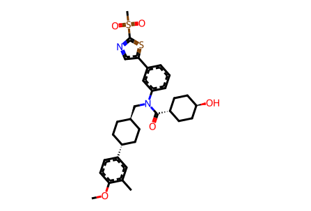 COc1ccc([C@H]2CC[C@H](CN(c3cccc(-c4cnc(S(C)(=O)=O)s4)c3)C(=O)[C@H]3CC[C@H](O)CC3)CC2)cc1C